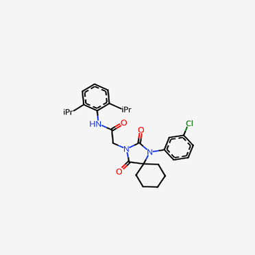 CC(C)c1cccc(C(C)C)c1NC(=O)CN1C(=O)N(c2cccc(Cl)c2)C2(CCCCC2)C1=O